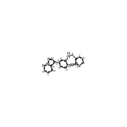 c1cnc2c(c1)CNc1cc(-c3cnn4ncccc34)ccc1N2